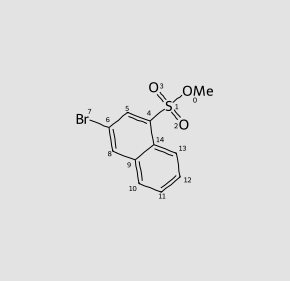 [CH2]OS(=O)(=O)c1cc(Br)cc2ccccc12